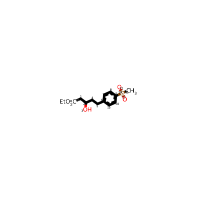 CCOC(=O)CC(O)CCc1ccc(S(C)(=O)=O)cc1